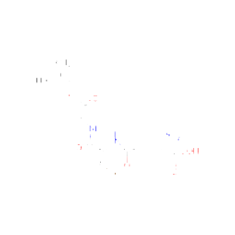 CC(C)COC(=O)CNC(=O)C(CS)NC(=O)CCC(N)C(=O)O